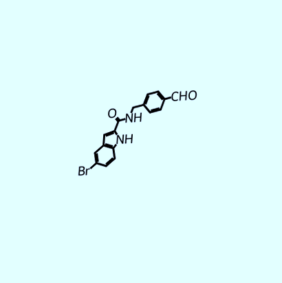 O=Cc1ccc(CNC(=O)c2cc3cc(Br)ccc3[nH]2)cc1